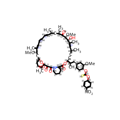 CO[C@H]1C[C@@H]2CC[C@@H](C)[C@@](O)(O2)C(=O)C(=O)N2CCCC[C@H]2C(=O)O[C@H]([C@H](C)C[C@@H]2CC[C@@H](OC(=S)Oc3ccc([N+](=O)[O-])cc3)[C@H](OC)C2)CC[C@H](C)/C=C(\C)[C@@H](O)[C@@H](OC)C(=O)[C@H](C)C[C@H](C)/C=C/C=C/C=C/1C